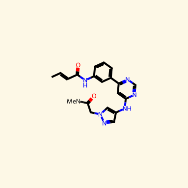 CC=CC(=O)Nc1cccc(-c2cc(Nc3cnn(CC(=O)NC)c3)ncn2)c1